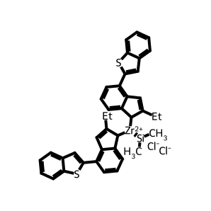 CCC1=Cc2c(-c3cc4ccccc4s3)cccc2[CH]1[Zr+2]([CH]1C(CC)=Cc2c(-c3cc4ccccc4s3)cccc21)=[Si](C)C.[Cl-].[Cl-]